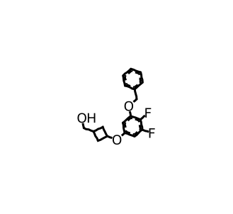 OCC1CC(Oc2cc(F)c(F)c(OCc3ccccc3)c2)C1